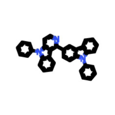 c1ccc(-n2c3ccccc3c3cc(-c4nccc5c4c4ccccc4n5-c4ccccc4)ccc32)cc1